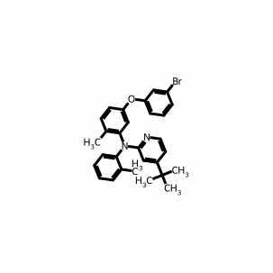 Cc1ccccc1N(c1cc(C(C)(C)C)ccn1)c1cc(Oc2cccc(Br)c2)ccc1C